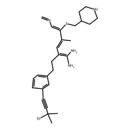 C=N/C=C(SCC1CCNCC1)/C(C)=C/C(CCc1cccc(C#CC(C)(C)CC)c1)=C(N)N